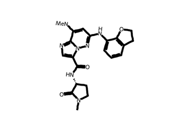 CNc1cc(Nc2cccc3c2OCC3)nn2c(C(=O)N[C@@H]3CCN(C)C3=O)cnc12